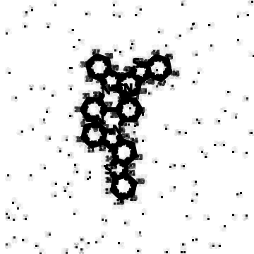 N#Cc1cccc(-n2c3ccccc3c3c4sc5ccccc5c4ccc32)c1-c1ncccc1-n1c2ccccc2c2c3sc4ccccc4c3ccc21